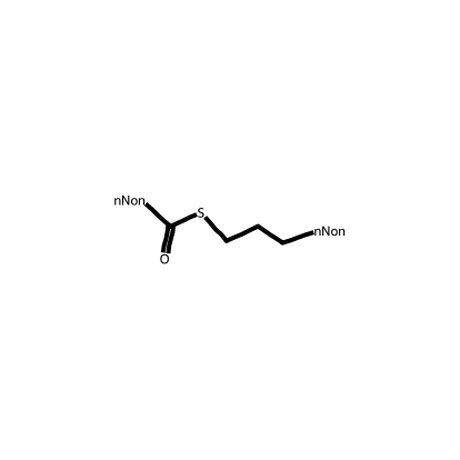 CCCCCCCCCCCCSC(=O)CCCCCCCCC